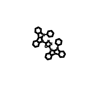 c1ccc(-n2c3ccccc3c3c4ccccc4n(-c4nnc(-n5c6ccccc6c6c7ccccc7n(-c7ccccc7)c65)o4)c32)cc1